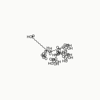 O=C(O)CCCCCCCCCCCCCCC(=O)N[C@@H](CCC(=O)ON1C(=O)CCC1=O)C(=O)NCCCC[C@@H](C(=O)NCCO[C@H]1O[C@H](CO)[C@@H](O)[C@H](O)[C@@H]1O)N(CC(=O)NCCO[C@H]1O[C@H](CO)[C@@H](O)[C@H](O)[C@@H]1O)CC(=O)NCCO[C@H]1O[C@H](CO)[C@@H](O)[C@H](O)[C@@H]1O